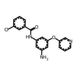 Nc1cc(NC(=O)c2cccc(Cl)c2)cc(Oc2cccnc2)c1